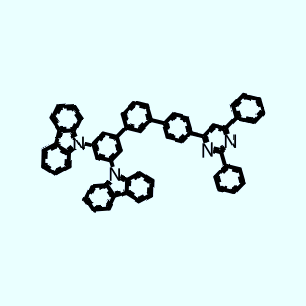 c1ccc(-c2cc(-c3ccc(-c4cccc(-c5cc(-n6c7ccccc7c7ccccc76)cc(-n6c7ccccc7c7ccccc76)c5)c4)cc3)nc(-c3ccccc3)n2)cc1